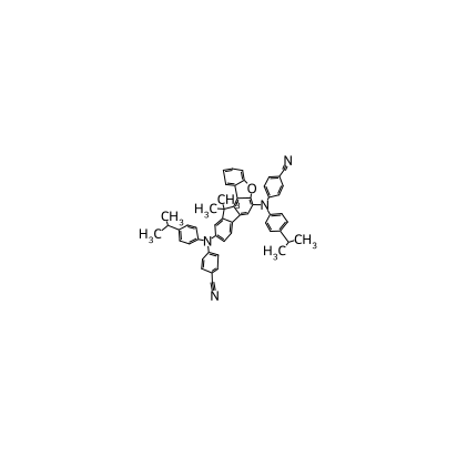 CC(C)c1ccc(N(c2ccc(C#N)cc2)c2ccc3c(c2)C(C)(C)c2c-3cc(N(c3ccc(C#N)cc3)c3ccc(C(C)C)cc3)c3oc4ccccc4c23)cc1